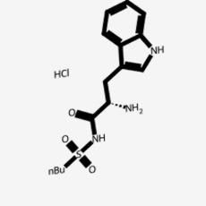 CCCCS(=O)(=O)NC(=O)[C@@H](N)Cc1c[nH]c2ccccc12.Cl